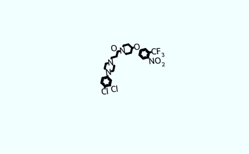 O=C(CCN1CCN(c2ccc(Cl)c(Cl)c2)CC1)N1CCC(Oc2ccc([N+](=O)[O-])c(C(F)(F)F)c2)CC1